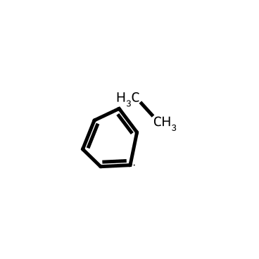 CC.[c]1ccccc1